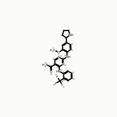 COc1cc(C2CCCN2)ccc1Nc1ncc(C(N)=O)c(Nc2ccccc2C(F)(F)F)n1